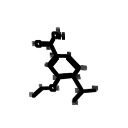 CCOc1cc(C(=O)O)ccc1C(C)C